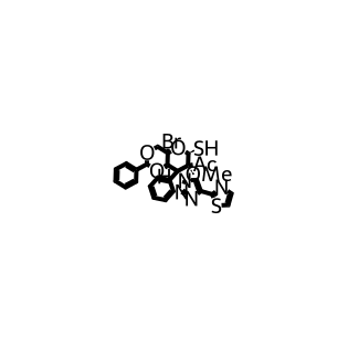 CO[C@@]1(C(C)=O)[C@@H](S)O[C@@]2(Br)COC(c3ccccc3)O[C@@H]2C1(c1ccccc1)n1cc(-c2nccs2)nn1